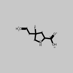 C=CCC1(F)CNC(C(=O)O)C1